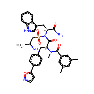 Cc1cc(C)cc(C(=O)N(C)[C@@H](Cc2ccc(-c3ccno3)cc2)C(=O)N([C@@H](Cc2c[nH]c3ccccc23)C(N)=O)S(=O)(=O)CC(N)C(=O)O)c1